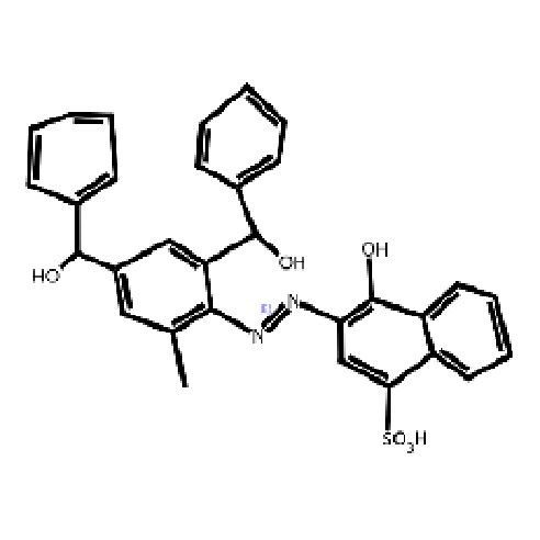 Cc1cc(C(O)c2ccccc2)cc(C(O)c2ccccc2)c1/N=N/c1cc(S(=O)(=O)O)c2ccccc2c1O